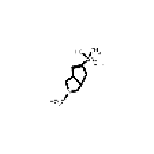 [CH3][Sn]([CH3])([CH3])[C]1=CC2CN(C(=O)O)CC2C1